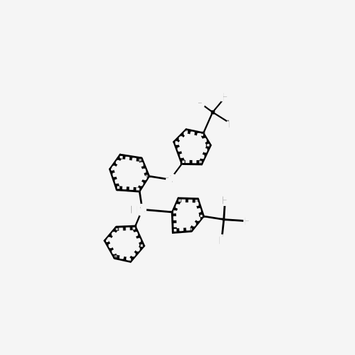 FC(F)(F)c1ccc(Sc2ccccc2[SH](c2ccccc2)c2ccc(C(F)(F)F)cc2)cc1